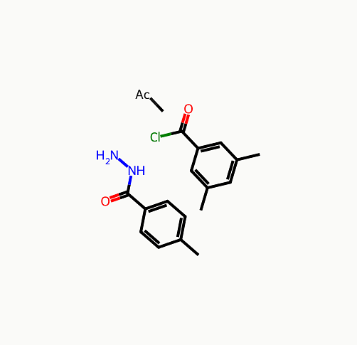 CC(C)=O.Cc1cc(C)cc(C(=O)Cl)c1.Cc1ccc(C(=O)NN)cc1